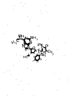 C#C[C@H]1C[C@@H](CO[P@@](=S)(N[C@@H](C)C(=O)OC(C)C)Oc2ccccc2)O[C@H]1n1cnc2c(N(C)C)nc(N)nc21